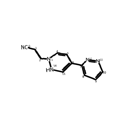 N#CCCN1C=CC(c2cccnn2)=CN1